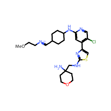 COCC/N=C/C1CCC(Nc2cc(-c3csc(NCC4(N)CCOCC4)n3)c(Cl)cn2)CC1